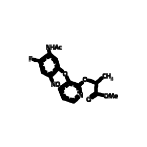 COC(=O)C(C)Oc1ncccc1Oc1cc(NC(C)=O)c(F)cc1[N+](=O)[O-]